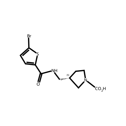 O=C(NC[C@@H]1CCN(C(=O)O)C1)c1ccc(Br)s1